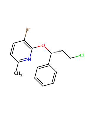 Cc1ccc(Br)c(O[C@H](CCCl)c2ccccc2)n1